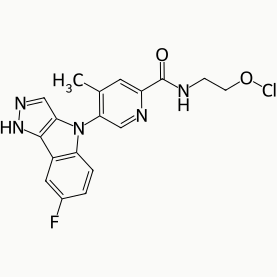 Cc1cc(C(=O)NCCOCl)ncc1-n1c2ccc(F)cc2c2[nH]ncc21